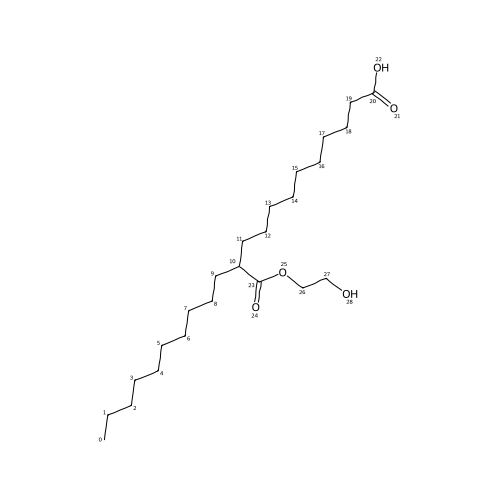 CCCCCCCCCCC(CCCCCCCCCC(=O)O)C(=O)OCCO